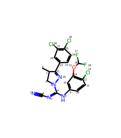 CC1CN(/C(=N\C#N)Nc2ccc(Cl)c(OC(F)F)c2)N=C1c1ccc(Cl)c(Cl)c1